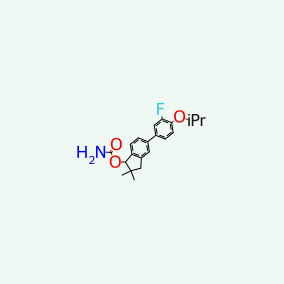 CC(C)Oc1ccc(-c2ccc3c(c2)CC(C)(C)[C@H]3OC(N)=O)cc1F